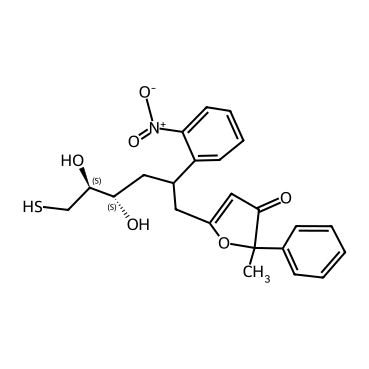 CC1(c2ccccc2)OC(CC(C[C@H](O)[C@H](O)CS)c2ccccc2[N+](=O)[O-])=CC1=O